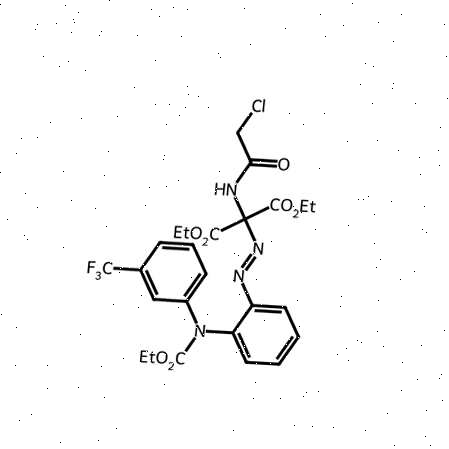 CCOC(=O)N(c1cccc(C(F)(F)F)c1)c1ccccc1N=NC(NC(=O)CCl)(C(=O)OCC)C(=O)OCC